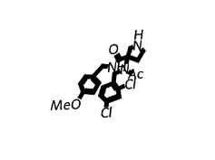 COc1ccc(CNC(=O)C2(N(Cc3ccc(Cl)cc3Cl)C(C)=O)CCNC2)cc1